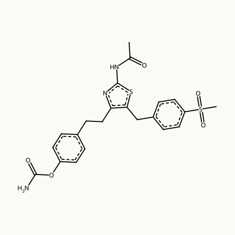 CC(=O)Nc1nc(CCc2ccc(OC(N)=O)cc2)c(Cc2ccc(S(C)(=O)=O)cc2)s1